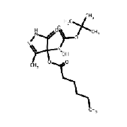 CCCCCC(=O)OC1(N(O)C(=O)OC(C)(C)C)C(=O)NN=C1C